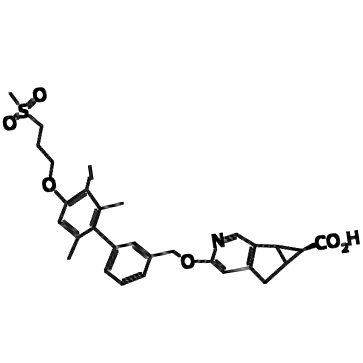 Cc1cc(OCCCS(C)(=O)=O)c(I)c(C)c1-c1cccc(COc2cc3c(cn2)C2C(C3)[C@@H]2C(=O)O)c1